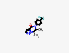 C[C@H]1[C@H](C)n2nccc2C(=O)N1c1ccc(C(F)(F)F)cc1